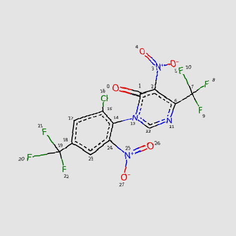 O=c1c([N+](=O)[O-])c(C(F)(F)F)ncn1-c1c(Cl)cc(C(F)(F)F)cc1[N+](=O)[O-]